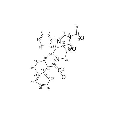 CC(=O)N1CN(c2ccccc2)C2(CCN(C(=C=O)C3CCCc4ccccc43)CC2)C1=O